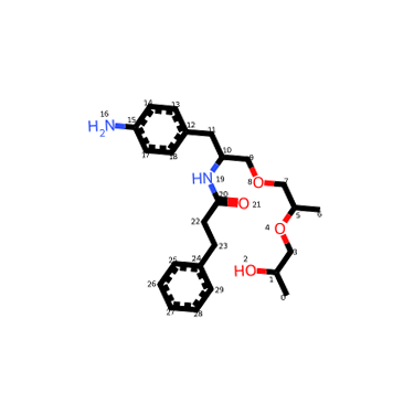 CC(O)COC(C)COCC(Cc1ccc(N)cc1)NC(=O)CCc1ccccc1